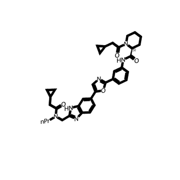 CCCN(Cc1nc2ccc(-c3cnc(-c4cccc(NC(=O)[C@@H]5CCCCN5C(=O)CC5CC5)c4)o3)cc2[nH]1)C(=O)CC1CC1